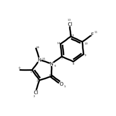 Cc1c(Cl)c(=O)n(-c2ccc(F)c(Cl)c2)n1C